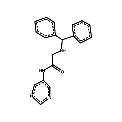 O=C(CNC(c1ccccc1)c1ccccc1)Nc1cncnc1